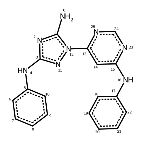 Nc1nc(Nc2ccccc2)nn1-c1cc(Nc2ccccc2)ncn1